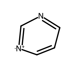 C1=C[N+]=CN=C1